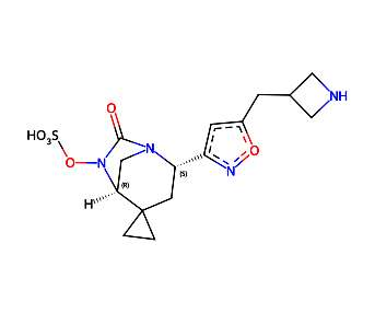 O=C1N2C[C@H](N1OS(=O)(=O)O)C1(CC1)C[C@H]2c1cc(CC2CNC2)on1